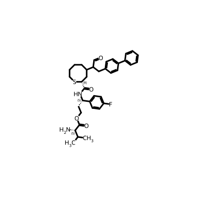 CC(C)[C@H](N)C(=O)OCC[C@H](NC(=O)[C@H]1CC(C(C=O)Cc2ccc(-c3ccccc3)cc2)CCCCS1)c1ccc(F)cc1